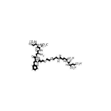 N[C@@H](CNC(=O)C(Cc1ccccc1)NC(=O)CCOCCOCCNC(=O)CC[C@H](NC(=S)N[C@@H](CCC(=O)O)C(=O)O)C(=O)O)C(=O)N[C@@H](CC(=O)O)C(=O)N[C@@H](CS)C(=O)O